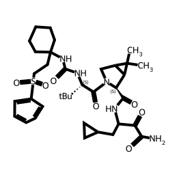 CC1(C)C2CN(C(=O)[C@@H](NC(=O)NC3(CCS(=O)(=O)c4ccccc4)CCCCC3)C(C)(C)C)[C@H](C(=O)NC(CC3CC3)C(=O)C(N)=O)C21